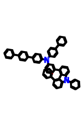 c1ccc(-c2ccc(-c3ccc(N(c4ccc(-c5ccccc5)cc4)c4cccc(-c5cccc6c5c5c(-c7ccccc7)cccc5n6-c5ccccc5)c4)cc3)cc2)cc1